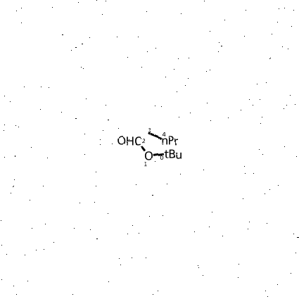 CC(C)(C)OC=O.CCCC